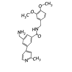 COc1ccc(CNC(=O)c2cc(CN)cc(-c3ccnc(C)c3)c2)cc1OC